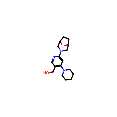 OCc1cnc(N2CC3CCC(C2)O3)cc1N1CCCCC1